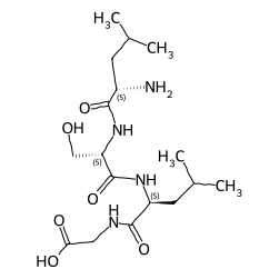 CC(C)C[C@H](NC(=O)[C@H](CO)NC(=O)[C@@H](N)CC(C)C)C(=O)NCC(=O)O